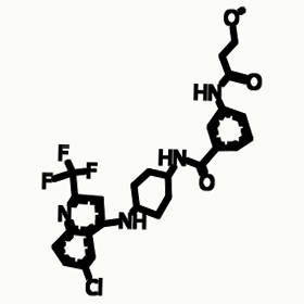 COCCC(=O)Nc1cccc(C(=O)NC2CCC(Nc3cc(C(F)(F)F)nc4ccc(Cl)cc34)CC2)c1